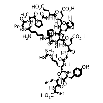 CC(C)C[C@H](NC(=O)[C@H](Cc1ccc(O)cc1)NC(=O)[C@H](CCCNC(=N)N)NC(=O)CNC(=O)[C@H](CCC(=O)O)NC(=O)[C@@H](NC(=O)[C@@H]1CCCN1C(=O)[C@H](Cc1c[nH]cn1)NC(=O)[C@H](CCC(=O)O)NC(=O)[C@H](CCC(=O)O)NC(=O)[C@@H]1CCCN1C(=O)[C@H](C)NC(=O)[C@@H](NC(=O)[C@@H](N)CCCNC(=N)N)C(C)C)C(C)C)C(=O)N[C@H](C(=O)O)C(C)C